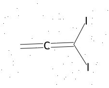 C=C=C(I)I